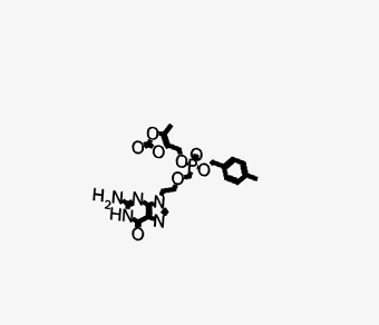 Cc1ccc(COP(=O)(COCCn2cnc3c(=O)[nH]c(N)nc32)OCc2oc(=O)oc2C)cc1